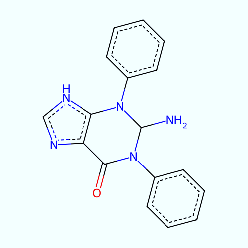 NC1N(c2ccccc2)C(=O)c2nc[nH]c2N1c1ccccc1